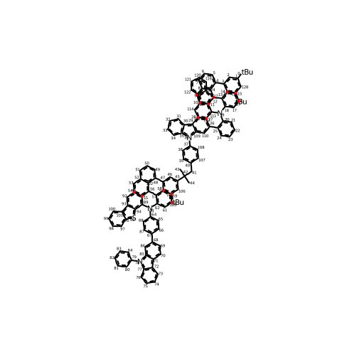 CC(C)(C)c1cc(-c2cccc3cccc(-c4ccccc4N(c4ccccc4-c4ccc5c6ccccc6n(-c6ccc(CC(C)(C)c7cc(-c8cccc9cccc(-c%10ccccc%10N(c%10ccc(-c%11ccc%12c%13ccccc%13n(-c%13ccccc%13)c%12c%11)cc%10)c%10cccc%11c%10sc%10ccccc%10%11)c89)cc(C(C)(C)C)c7)cc6)c5c4)c4cccc5c4sc4ccccc45)c23)cc(C(C)(C)C)c1